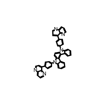 c1cnc2c(-c3ccc(-n4c5ccccc5c5c6c7ccccc7n(-c7ccc(-c8ccnc9cccnc89)cc7)c6ccc54)cc3)ccnc2c1